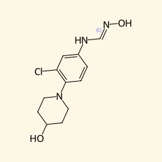 O/N=C/Nc1ccc(N2CCC(O)CC2)c(Cl)c1